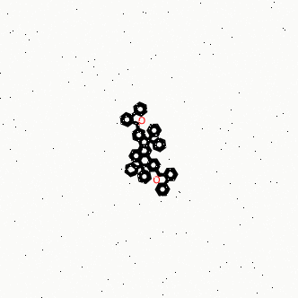 O=C(c1ccc2c(c1)C(C1=CCCC=C1)(c1ccccc1)c1cccc3c4c(cc-2c13)C(c1ccccc1)(c1ccccc1)c1cc(C(=O)c2ccccc2-c2ccccc2)ccc1-4)c1ccccc1-c1ccccc1